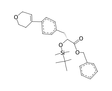 CC(C)(C)[Si](C)(C)O[C@H](Cc1ccc(C2=CCOCC2)cc1)C(=O)OCc1ccccc1